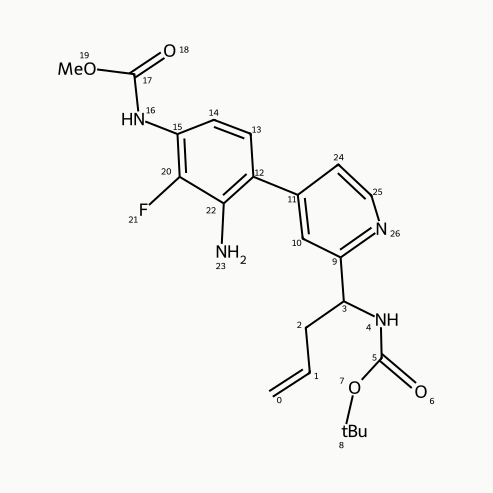 C=CCC(NC(=O)OC(C)(C)C)c1cc(-c2ccc(NC(=O)OC)c(F)c2N)ccn1